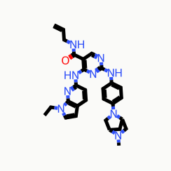 C=CCNC(=O)c1cnc(Nc2ccc(N3CC4CC3CN4C)cc2)nc1Nc1ccc2ccn(CC)c2n1